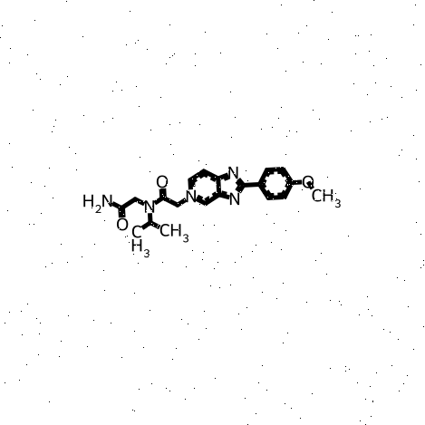 COc1ccc(-c2nc3ccn(CC(=O)N(CC(N)=O)C(C)C)cc-3n2)cc1